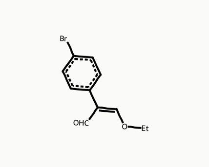 CCOC=C(C=O)c1ccc(Br)cc1